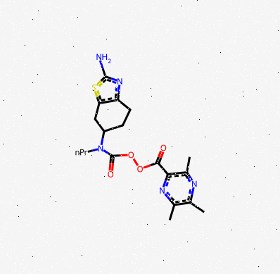 CCCN(C(=O)OOC(=O)c1nc(C)c(C)nc1C)C1CCc2nc(N)sc2C1